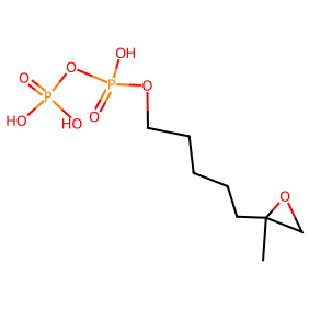 CC1(CCCCCOP(=O)(O)OP(=O)(O)O)CO1